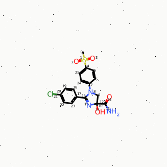 CS(=O)(=O)c1ccc(N2CC(O)(C(N)=O)N=C2c2ccc(Cl)cc2)cc1